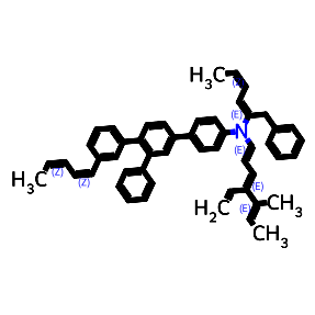 C=CC(=C\C=C\N(/C(=C/C=C\C)Cc1ccccc1)c1ccc(-c2ccc(-c3cccc(/C=C\C=C/C)c3)c(-c3ccccc3)c2)cc1)/C(C)=C/C